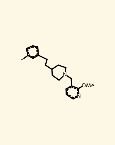 COc1ncccc1CN1CCC(CCc2cccc(F)c2)CC1